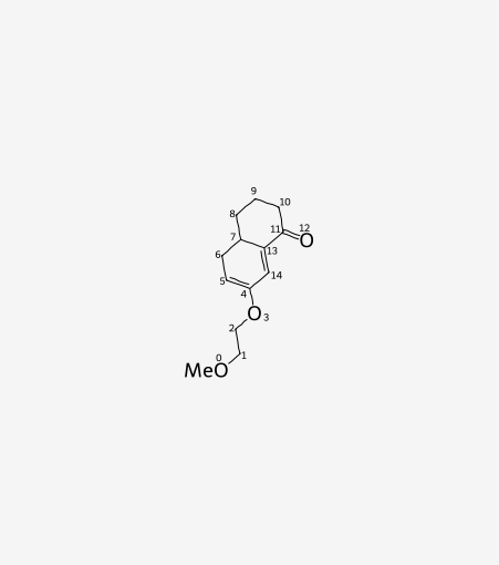 COCCOC1=CCC2CCCC(=O)C2=C1